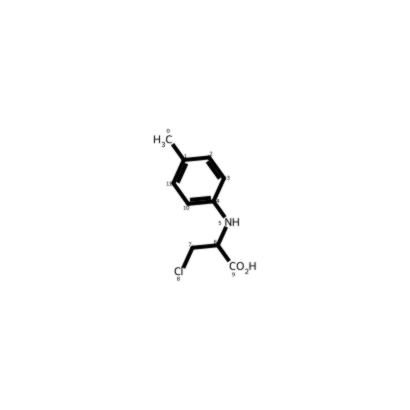 Cc1ccc(NC(CCl)C(=O)O)cc1